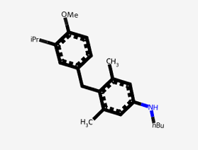 CCCCNc1cc(C)c(Cc2ccc(OC)c(C(C)C)c2)c(C)c1